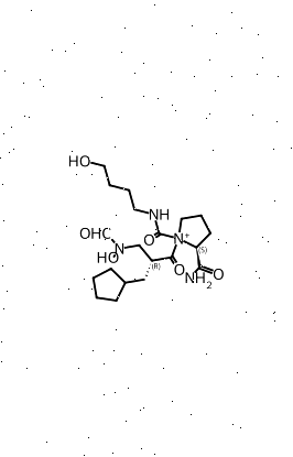 NC(=O)[C@@H]1CCC[N+]1(C(=O)NCCCCO)C(=O)[C@H](CC1CCCC1)CN(O)C=O